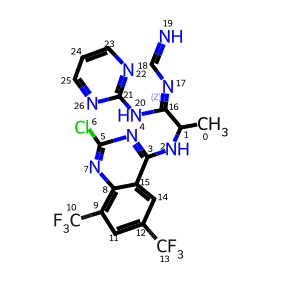 CC(Nc1nc(Cl)nc2c(C(F)(F)F)cc(C(F)(F)F)cc12)/C(=N/C=N)Nc1ncccn1